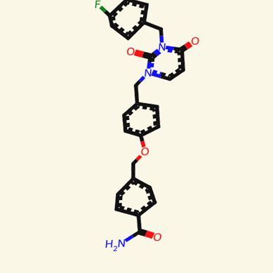 NC(=O)c1ccc(COc2ccc(Cn3ccc(=O)n(Cc4ccc(F)cc4)c3=O)cc2)cc1